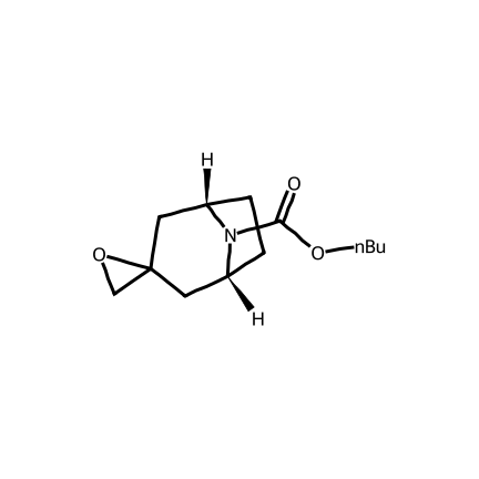 CCCCOC(=O)N1[C@@H]2CC[C@H]1CC1(CO1)C2